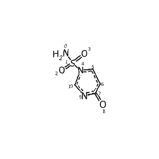 NS(=O)(=O)n1ccc(=O)nc1